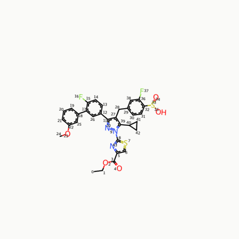 CCOC(=O)c1csc(-n2nc(-c3ccc(F)c(-c4cccc(OC)c4)c3)c(Cc3ccc(S(=O)O)c(F)c3)c2C2CC2)n1